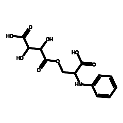 O=C(O)C(COC(=O)C(O)C(O)C(=O)O)Nc1ccccc1